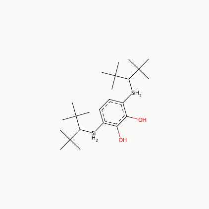 CC(C)(C)C([SiH2]c1ccc([SiH2]C(C(C)(C)C)C(C)(C)C)c(O)c1O)C(C)(C)C